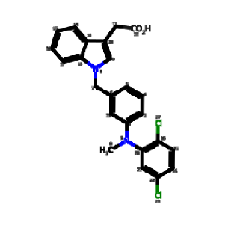 CN(c1cccc(Cn2cc(CC(=O)O)c3ccccc32)c1)c1cc(Cl)ccc1Cl